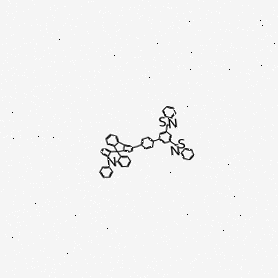 c1ccc(N2c3ccccc3C3(c4ccccc4-c4cc(-c5ccc(-c6cc(-c7nc8ccccc8s7)cc(-c7nc8ccccc8s7)c6)cc5)ccc43)c3ccccc32)cc1